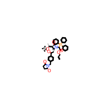 C=CCOC(=O)C(N1C(=O)[C@H]([C@@H](C)O[Si](C)(C)C)[C@H]1CC(=O)c1ccc(CN2C(=O)CCC2=O)cc1)=P(c1ccccc1)(c1ccccc1)c1ccccc1